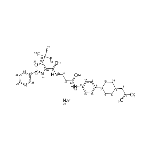 O=C([O-])C[C@H]1CC[C@H](c2ccc(NC(=O)CCNC(=O)c3nc(-c4ccccc4)oc3C(F)(F)F)cc2)CC1.[Na+]